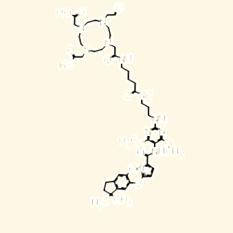 COc1nc(NCCCNC(=O)CCCCNC(=O)CN2CCN(CC=O)CCN(CC(=O)O)CCN(CC(=O)O)CC2)nc(OC)c1NC(=O)c1ccc(Oc2cc3c(cc2C)CCC3(C)C)o1